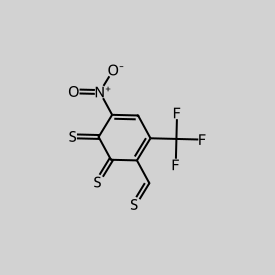 O=[N+]([O-])C1=CC(C(F)(F)F)=C(C=S)C(=S)C1=S